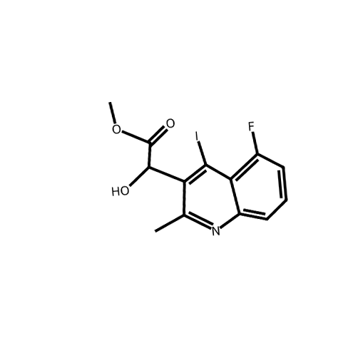 COC(=O)C(O)c1c(C)nc2cccc(F)c2c1I